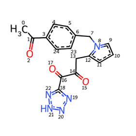 CC(=O)c1ccc(Cn2cccc2CC(=O)C(=O)c2nn[nH]n2)cc1